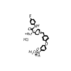 CCCCN(C(=O)Nc1ccc(F)cc1)C1CCN(Cc2ccc(Oc3ccc(NS(C)(=O)=O)cc3)cc2)CC1.Cl